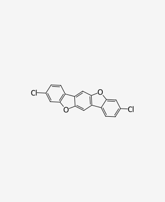 Clc1ccc2c(c1)oc1cc3c(cc12)oc1cc(Cl)ccc13